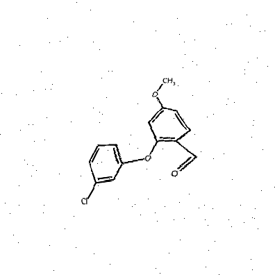 COc1ccc(C=O)c(Oc2cccc(Cl)c2)c1